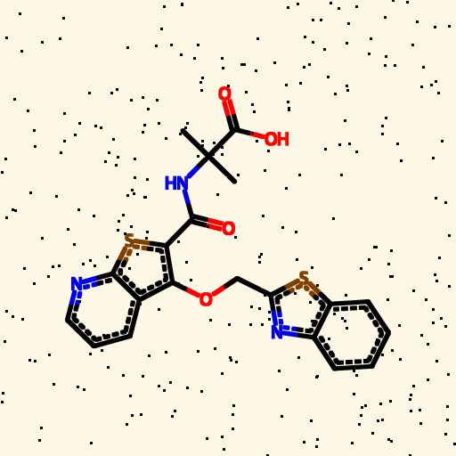 CC(C)(NC(=O)c1sc2ncccc2c1OCc1nc2ccccc2s1)C(=O)O